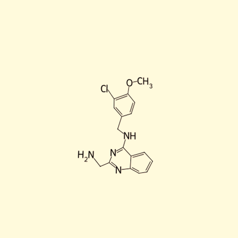 COc1ccc(CNc2nc(CN)nc3ccccc23)cc1Cl